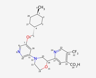 C[C@H]1CC[C@H](COc2cncc(N3CCOC(c4cc(C(=O)O)c(C(F)(F)F)cn4)C3)c2)CC1